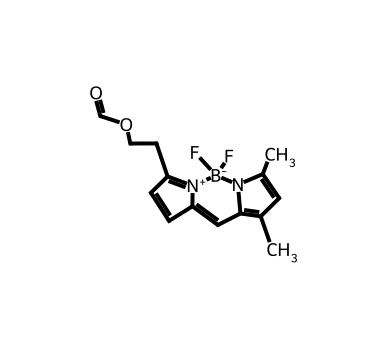 Cc1cc(C)n2c1C=C1C=CC(CCOC=O)=[N+]1[B-]2(F)F